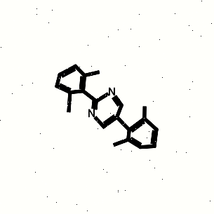 Cc1cccc(C)c1-c1cnc(-c2c(C)cccc2C)nc1